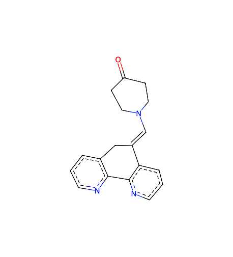 O=C1CCN(C=C2Cc3cccnc3-c3ncccc32)CC1